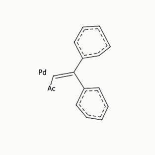 CC(=O)C=C(c1ccccc1)c1ccccc1.[Pd]